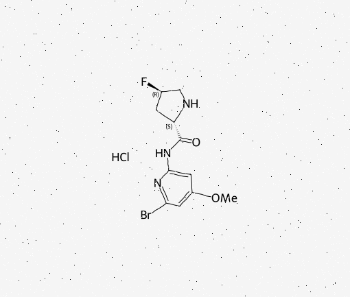 COc1cc(Br)nc(NC(=O)[C@@H]2C[C@@H](F)CN2)c1.Cl